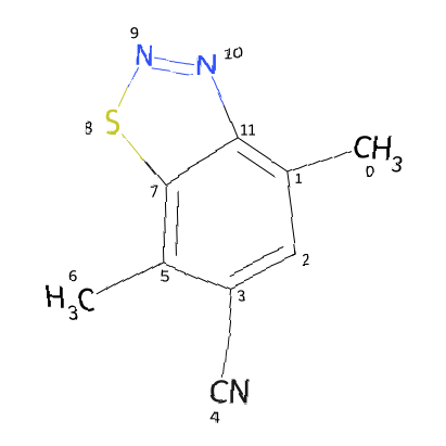 Cc1cc(C#N)c(C)c2snnc12